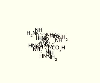 CC(=O)N[C@@H](CCCNC(=N)N)C(=O)N[C@@H](CCCNC(=N)N)C(=O)N[C@@H](CCCNC(=N)N)C(=O)N[C@@H](CCCNC(=N)N)C(=O)O